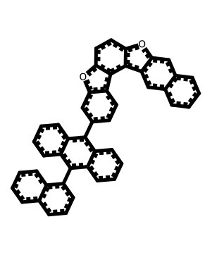 c1ccc2cc3c(cc2c1)oc1ccc2oc4cc(-c5c6ccccc6c(-c6cccc7ccccc67)c6ccccc56)ccc4c2c13